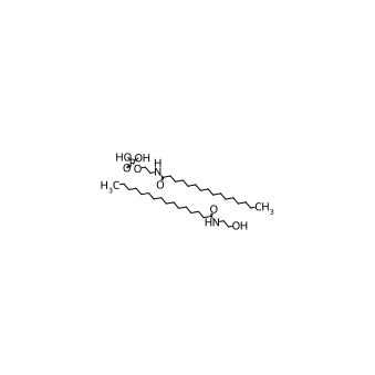 CCCCCCCCCCCCCCCC(=O)NCCO.CCCCCCCCCCCCCCCC(=O)NCCOP(=O)(O)O